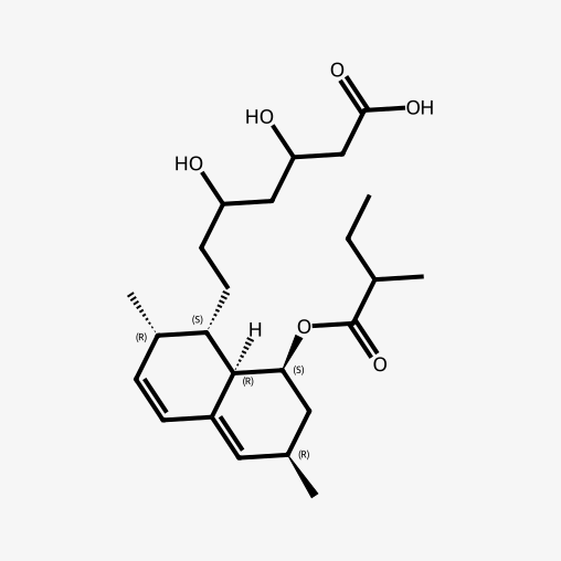 CCC(C)C(=O)O[C@H]1C[C@@H](C)C=C2C=C[C@H](C)[C@H](CCC(O)CC(O)CC(=O)O)[C@H]21